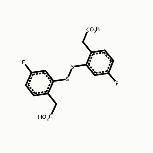 O=C(O)Cc1ccc(F)cc1SSc1cc(F)ccc1CC(=O)O